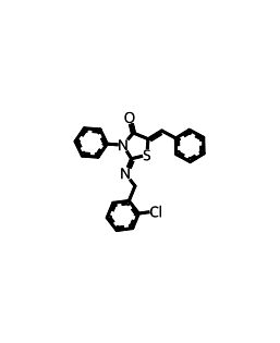 O=C1/C(=C/c2ccccc2)S/C(=N\Cc2ccccc2Cl)N1c1ccccc1